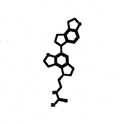 CCC(=O)NCC[C@@H]1CCc2cc(C3CCc4c3ccc3c4CCO3)c3c(c21)CCO3